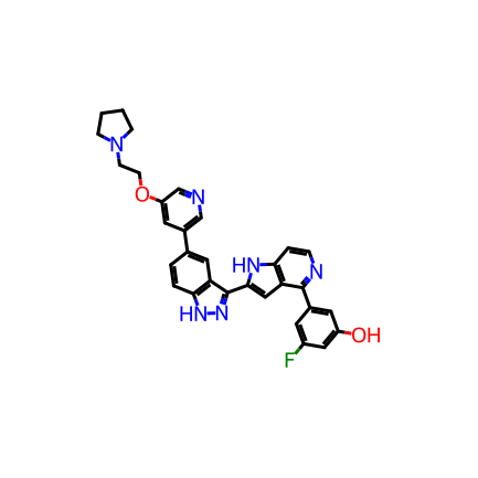 Oc1cc(F)cc(-c2nccc3[nH]c(-c4n[nH]c5ccc(-c6cncc(OCCN7CCCC7)c6)cc45)cc23)c1